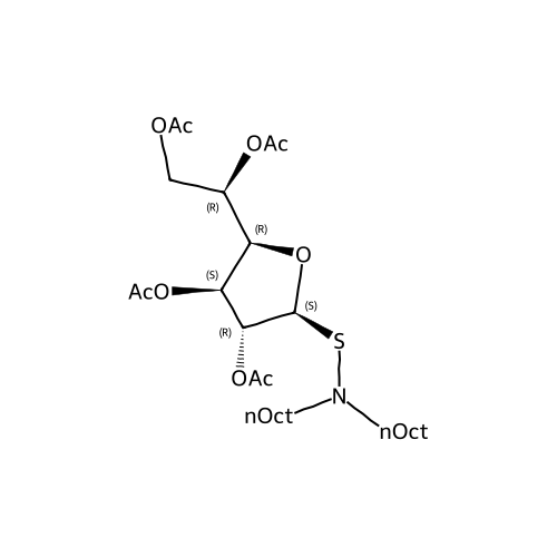 CCCCCCCCN(CCCCCCCC)S[C@@H]1O[C@H]([C@@H](COC(C)=O)OC(C)=O)[C@H](OC(C)=O)[C@H]1OC(C)=O